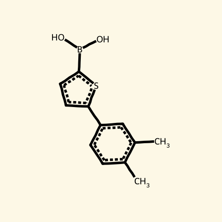 Cc1ccc(-c2ccc(B(O)O)s2)cc1C